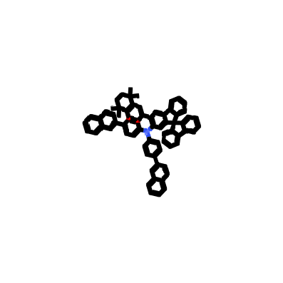 CC1(C)CCC(C)(C)c2cc(-c3cc4c(cc3N(c3ccc(-c5ccc6ccccc6c5)cc3)c3ccc(-c5ccc6ccccc6c5)cc3)C3(c5ccccc5-c5ccccc53)c3ccccc3-4)ccc21